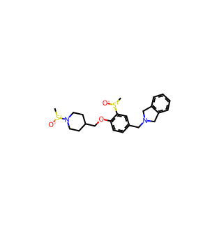 C[S+]([O-])c1cc(CN2Cc3ccccc3C2)ccc1OCC1CCN([S+](C)[O-])CC1